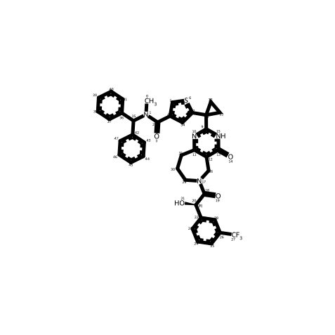 CN(C(=O)c1csc(C2(c3nc4c(c(=O)[nH]3)CN(C(=O)[C@H](O)c3cccc(C(F)(F)F)c3)CCC4)CC2)c1)C(c1ccccc1)c1ccccc1